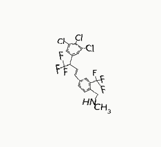 CNCc1ccc(/C=C/C(c2cc(Cl)c(Cl)c(Cl)c2)C(F)(F)F)cc1C(F)(F)F